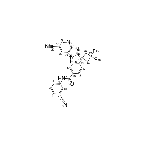 N#Cc1cccc(NC(=O)c2ccc(C3(c4nc5ncc(C#N)cc5[nH]4)CC(F)(F)C3)cc2)c1